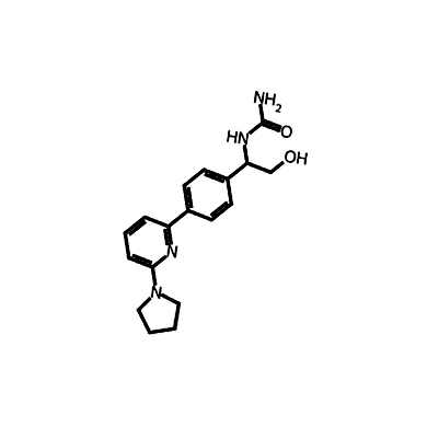 NC(=O)NC(CO)c1ccc(-c2cccc(N3CCCC3)n2)cc1